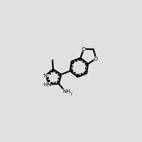 Cc1n[nH]c(N)c1-c1ccc2c(c1)OCO2